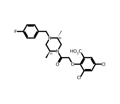 C[C@@H]1CN(C(=O)COc2c(Cl)cc(Cl)cc2C(=O)O)[C@@H](C)CN1Cc1ccc(F)cc1